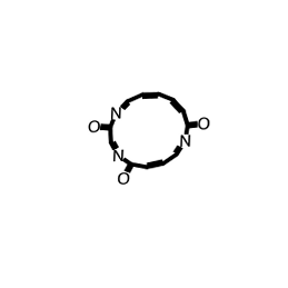 O=C1C=CC=CC=NC(=O)C=NC(=O)C=CC=N1